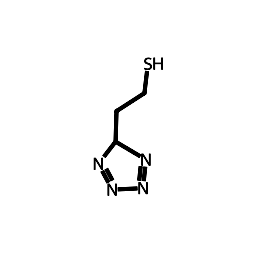 SCCC1N=NN=N1